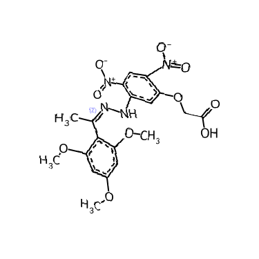 COc1cc(OC)c(/C(C)=N\Nc2cc(OCC(=O)O)c([N+](=O)[O-])cc2[N+](=O)[O-])c(OC)c1